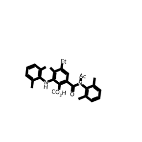 CCc1cc(C(=O)N(C(C)=O)c2c(C)cccc2C)c(C(=O)O)c(Nc2c(C)cccc2C)c1C